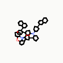 c1ccc2c(c1)Oc1cccc3c4cc(-c5ccccc5N(c5ccc(-c6ccc7ccccc7c6)cc5)c5ccc(-c6ccccc6-c6cccc7ccccc67)cc5)ccc4n-2c13